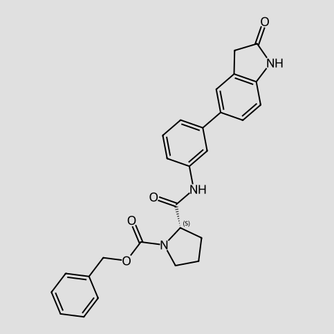 O=C1Cc2cc(-c3cccc(NC(=O)[C@@H]4CCCN4C(=O)OCc4ccccc4)c3)ccc2N1